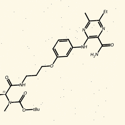 CCc1nc(C(N)=O)c(Nc2cccc(OCCCNC(=O)[C@H](C)N(C)C(=O)OC(C)(C)C)c2)nc1C